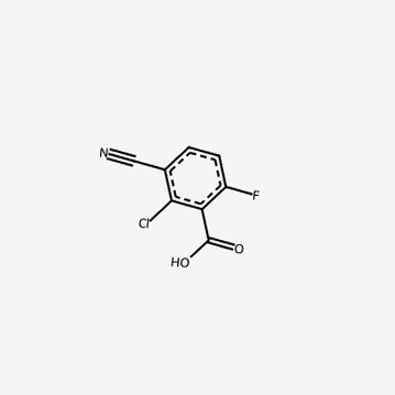 N#Cc1ccc(F)c(C(=O)O)c1Cl